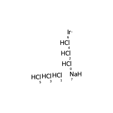 Cl.Cl.Cl.Cl.Cl.Cl.[Ir].[NaH]